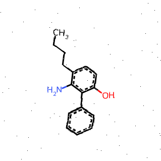 CCCCc1ccc(O)c(-c2ccccc2)c1N